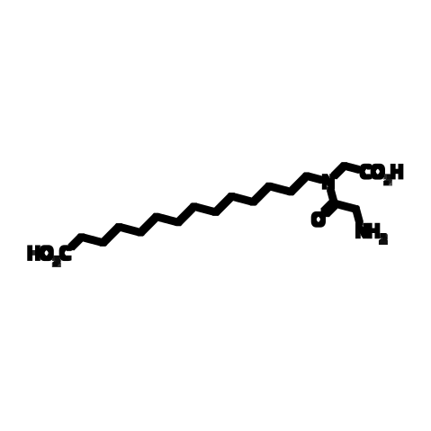 NCC(=O)N(CCCCCCCCCCCCCC(=O)O)CC(=O)O